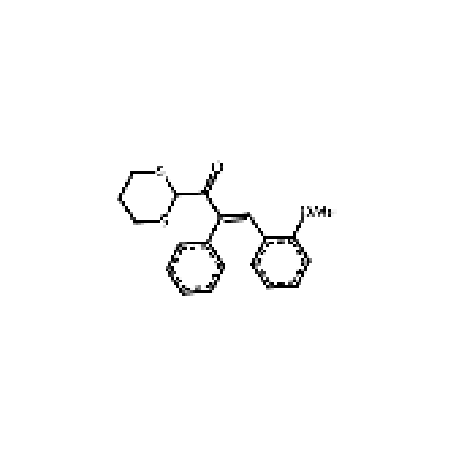 COc1ccccc1C=C(C(=O)C1SCCCS1)c1ccccc1